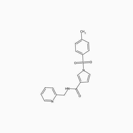 Cc1ccc(S(=O)(=O)n2ccc(C(=O)NCc3ccccn3)c2)cc1